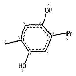 Cc1cc(O)c(C(C)C)cc1O